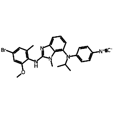 [C-]#[N+]c1ccc(N(c2cccc3nc(Nc4c(C)cc(Br)cc4OC)n(C)c23)C(C)C)cc1